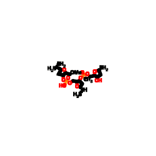 BBC1CC(OP(C)(=O)OCC2OC(B)CC2O)C(COP(=O)(O)OC2CC(B(B)B)OC2COC)O1